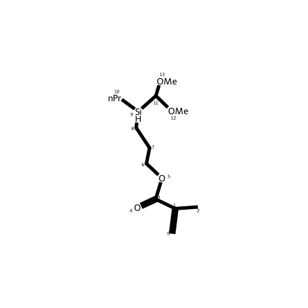 C=C(C)C(=O)OCCC[SiH](CCC)C(OC)OC